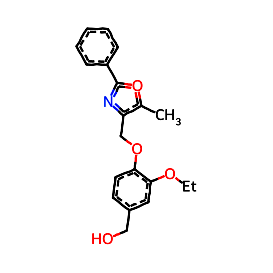 CCOc1cc(CO)ccc1OCc1nc(-c2ccccc2)oc1C